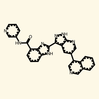 O=C(Nc1cccnc1)c1cccc2[nH]c(-c3n[nH]c4ncc(-c5cncc6ccccc56)cc34)nc12